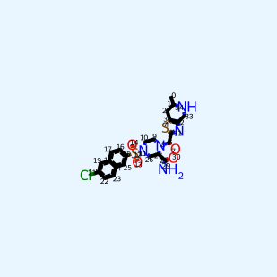 CC1Cc2sc(C(=O)N3CCN(S(=O)(=O)c4ccc5cc(Cl)ccc5c4)CC3C(N)=O)nc2CN1